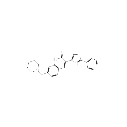 O=c1[nH]c2cc(CN3CCCCC3)ccc2cc1-c1csc(-c2ccncc2)n1